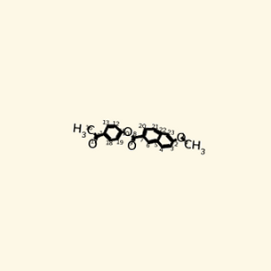 COc1ccc2cc(C(=O)Oc3ccc(C(C)=O)cc3)ccc2c1